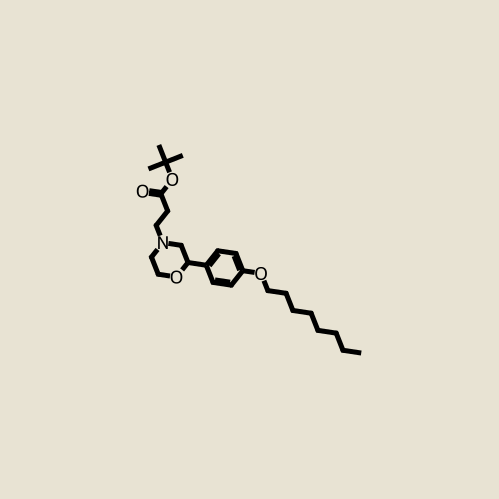 CCCCCCCCOc1ccc(C2CN(CCC(=O)OC(C)(C)C)CCO2)cc1